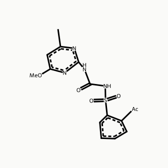 COc1cc(C)nc(NC(=O)NS(=O)(=O)c2ccccc2C(C)=O)n1